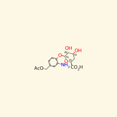 CC(=O)OCc1ccc(O[C@@H]2O[C@H](C(=O)O)C[C@H](O)[C@H]2O)c(N)c1